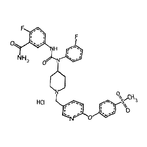 CS(=O)(=O)c1ccc(Oc2ccc(CN3CCC(N(C(=O)Nc4ccc(F)c(C(N)=O)c4)c4cccc(F)c4)CC3)cn2)cc1.Cl